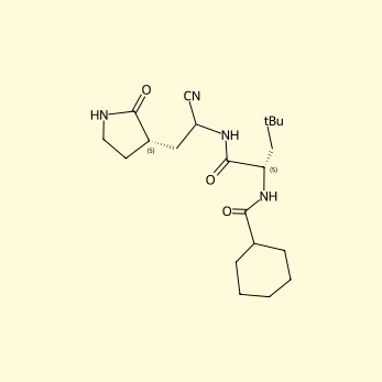 CC(C)(C)C[C@H](NC(=O)C1CCCCC1)C(=O)NC(C#N)C[C@@H]1CCNC1=O